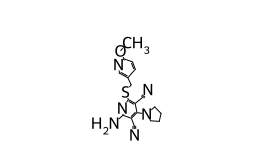 COc1ccc(CSc2nc(N)c(C#N)c(N3CCCC3)c2C#N)cn1